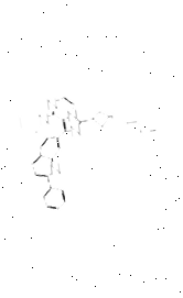 COCCOC1CC(c2nc(-c3ccc4ccc(-c5ccccc5)nc4c3)c3c(N)nccn23)C1